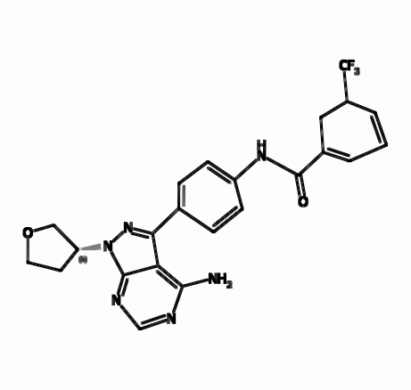 Nc1ncnc2c1c(-c1ccc(NC(=O)C3=CC=CC(C(F)(F)F)C3)cc1)nn2[C@@H]1CCOC1